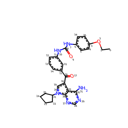 CCOc1ccc(NC(=O)Nc2cccc(C(=O)c3cn(C4CCCC4)c4ncnc(N)c34)c2)cc1